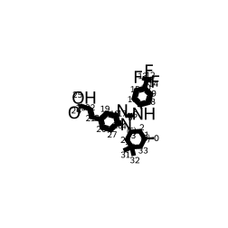 C[C@@H]1C[C@H](n2c(Nc3ccc(C(F)(F)F)cc3)nc3cc(C=CC(=O)O)ccc32)CC(C)(C)C1